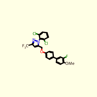 COc1ccc(-c2ccc(OCc3cc(C(F)(F)F)nn3-c3c(Cl)cccc3Cl)cc2)cc1F